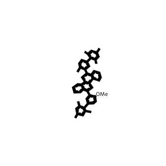 COc1ccc(-c2c(C)cc(C)cc2C)cc1-c1cc2c3ccccc3c(-c3cc(-c4c(C)cc(C)cc4C)ccc3C)cc2c2ccccc12